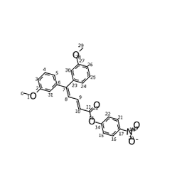 COc1cccc(C(=CC=CC(=O)Oc2ccc([N+](=O)[O-])cc2)c2cccc(OC)c2)c1